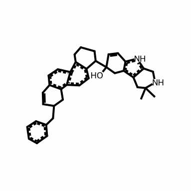 CC1(C)Cc2c([nH]c3c2CC(O)(C2CCCc4c2ccc2c5c(ccc42)C=CC(Cc2ccccc2)C5)C=C3)CN1